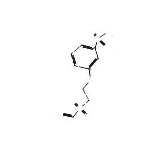 C=CS(=O)(=O)CC[N]c1cccc(S(=O)(=O)O)c1